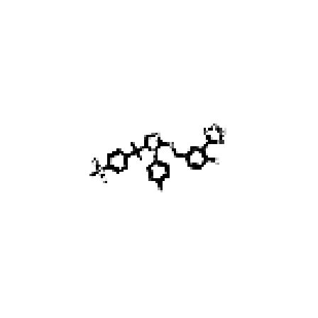 CC(C)(c1ccc(S(C)(=O)=O)cc1)c1cnc(SCc2ccc(Cl)c(-c3nnn[nH]3)c2)n1-c1ccc(F)cc1